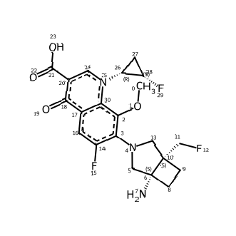 COc1c(N2C[C@]3(N)CC[C@]3(CF)C2)c(F)cc2c(=O)c(C(=O)O)cn([C@@H]3C[C@@H]3F)c12